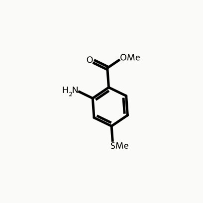 COC(=O)c1ccc(SC)cc1N